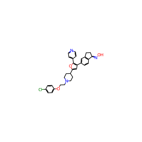 ON=C1CCc2cc(-c3cc(C4CCN(CCOc5ccc(Cl)cc5)CC4)oc3-c3ccncc3)ccc21